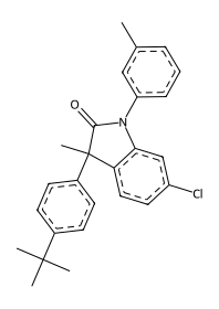 Cc1cccc(N2C(=O)C(C)(c3ccc(C(C)(C)C)cc3)c3ccc(Cl)cc32)c1